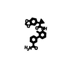 Cc1c(NC(=O)C2(c3ccc4c(c3)OCO4)CC2)cccc1-c1cccc(C(N)=O)c1